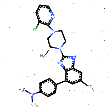 C[C@@H]1CN(c2ncccc2Cl)CCN1c1nc2cc(C(F)(F)F)cc(-c3ccc(N(C)C)cc3)c2[nH]1